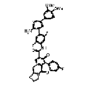 COc1ccc(-c2cnc(N)c(-c3cc(F)c(NC(=O)c4cn5c(c(-c6ccc(F)cc6)c4=O)C(=O)N4CCOC4C5)cc3F)c2)cc1OC